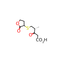 C[C@@H](CSC1CCOC1=O)C(=O)CC(=O)O